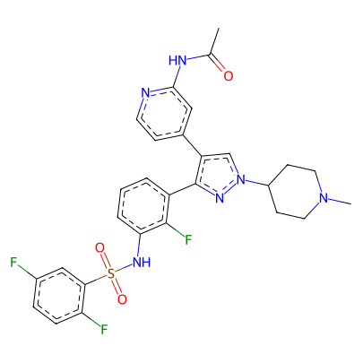 CC(=O)Nc1cc(-c2cn(C3CCN(C)CC3)nc2-c2cccc(NS(=O)(=O)c3cc(F)ccc3F)c2F)ccn1